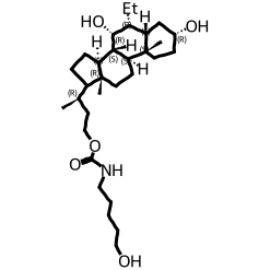 CC[C@H]1[C@@H](O)[C@@H]2[C@H](CC[C@]3(C)C([C@H](C)CCOC(=O)NCCCCCO)CC[C@@H]23)[C@@]2(C)CC[C@@H](O)C[C@@H]12